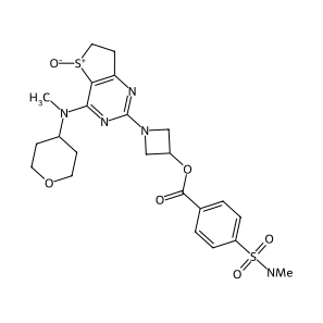 CNS(=O)(=O)c1ccc(C(=O)OC2CN(c3nc4c(c(N(C)C5CCOCC5)n3)[S+]([O-])CC4)C2)cc1